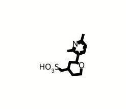 Cc1ccc(C2CC(CS(=O)(=O)O)CCO2)c(C)n1